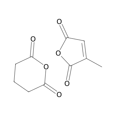 CC1=CC(=O)OC1=O.O=C1CCCC(=O)O1